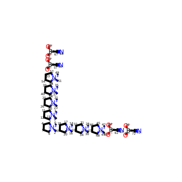 C[N+]1(C)CCCC1.C[N+]1(C)CCCC1.C[N+]1(C)CCCC1.C[N+]1(C)CCCC1.C[N+]1(C)CCCC1.C[N+]1(C)CCCC1.C[N+]1(C)CCCC1.C[N+]1(C)CCCC1.N#CB([O-])[O-].N#CB([O-])[O-].N#CB([O-])[O-].N#CB([O-])[O-]